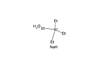 CC[N+](CC)(CC)CC.O.[NaH]